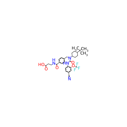 CC(C)(C)C1CCC(N(Cc2ccc(C(=O)NCCC(=O)O)cc2)C(=O)Nc2ccc(C#N)cc2OC(F)(F)F)CC1